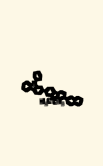 CC1(C)c2cc(-c3ccc4ccccc4c3)ccc2-c2ccc(-c3ccc4c5ccccc5n(-c5ccccc5)c4c3)cc21